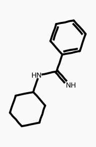 N=C(NC1CCCCC1)c1ccccc1